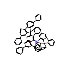 c1ccc(-c2cccc(-c3ccccc3N(c3cccc4c3-c3ccccc3C43c4cc(-c5ccccc5)ccc4-c4ccc(-c5ccccc5)cc43)c3cccc4c3C3(c5ccccc5-4)C4CC5CC(C4)CC3C5)c2)cc1